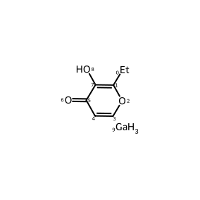 CCc1occc(=O)c1O.[GaH3]